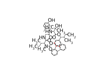 C=C[C@@H](C)[C@H](OC(=O)[C@@H](NC(=O)[C@@H](Cc1ccc(O)cc1)NC(=O)[C@H]([C@@H](C)CC)N(C)C(=O)OCC1c2ccccc2-c2ccccc21)C(C)(C)O)c1ccccc1